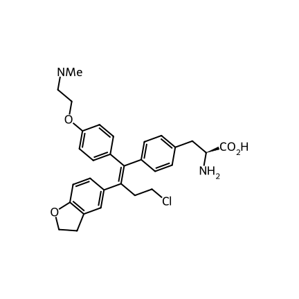 CNCCOc1ccc(C(=C(CCCl)c2ccc3c(c2)CCO3)c2ccc(C[C@H](N)C(=O)O)cc2)cc1